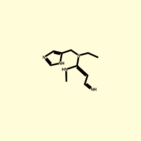 CCN(Cc1cnc[nH]1)/C(=C/C=N)NC